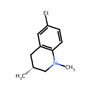 CCc1ccc2c(c1)C[C@@H](C)CN2C